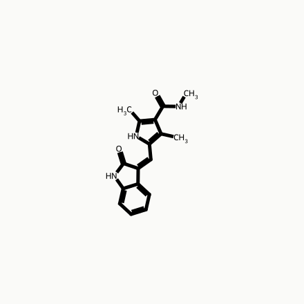 CNC(=O)c1c(C)[nH]c(/C=C2\C(=O)Nc3ccccc32)c1C